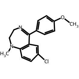 COc1ccc(C2=NCCN(C)c3ccc(Cl)cc32)cc1